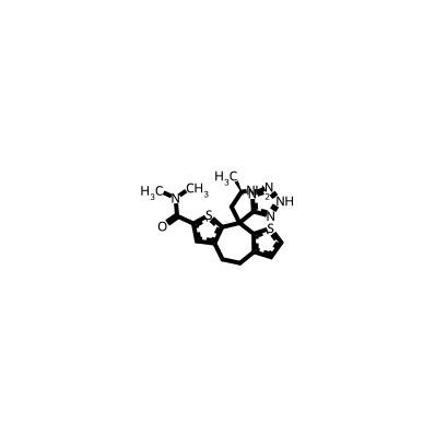 C[C@@H](N)CC1(c2nn[nH]n2)c2sccc2CCc2cc(C(=O)N(C)C)sc21